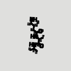 CC(C)NC(=O)[C@H](C)NC(=O)CCCN